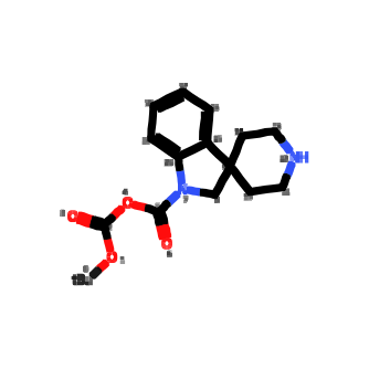 CC(C)(C)OC(=O)OC(=O)N1CC2(CCNCC2)c2ccccc21